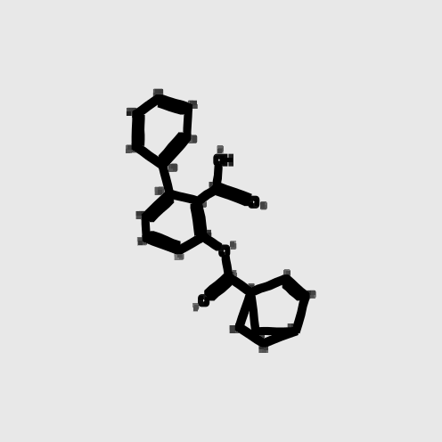 O=C(O)c1c(OC(=O)C23C=CC(CC2)C3)cccc1-c1ccccc1